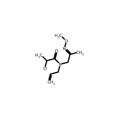 C=CCN(CC(C)=NOC)C(=O)C(C)Cl